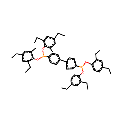 CCc1ccc(OP(Oc2ccc(CC)cc2CC)c2ccc(-c3ccc(P(Oc4c(C)cc(CC)cc4CC)Oc4c(C)cc(CC)cc4CC)cc3)cc2)c(CC)c1